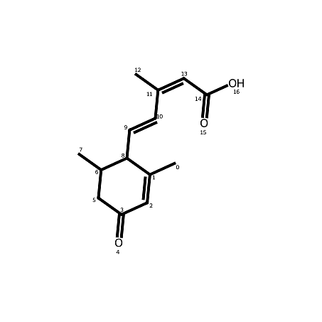 CC1=CC(=O)CC(C)C1/C=C/C(C)=C\C(=O)O